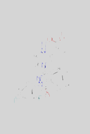 COC(=O)C(C)C1CN(c2nn(-c3ccc(F)cc3F)c(=O)c3ccccc23)CCN1